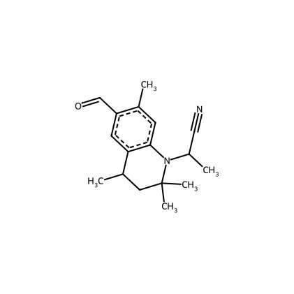 Cc1cc2c(cc1C=O)C(C)CC(C)(C)N2C(C)C#N